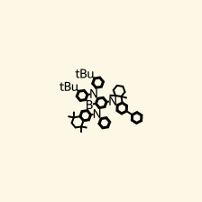 CC(C)(C)c1cccc(N2c3cc(C(C)(C)C)ccc3B3c4cc5c(cc4N(c4ccccc4)c4cc(N6c7ccc(-c8ccccc8)cc7C7(C)CCCCC67C)cc2c43)C(C)(C)CCC5(C)C)c1